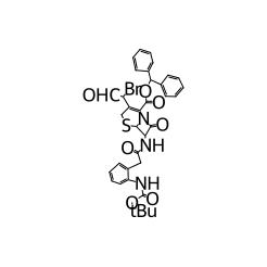 CC(C)(C)OC(=O)Nc1ccccc1CC(=O)NC1C(=O)N2C(C(=O)OC(c3ccccc3)c3ccccc3)=C(C(Br)C=O)CSC12